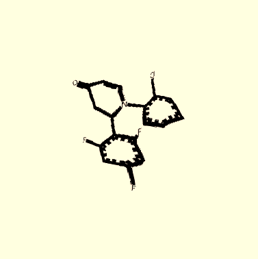 O=C1C=CN(c2ccccc2Cl)C(c2c(F)cc(F)cc2F)C1